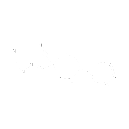 N#CC1(/C=N/N=C\N)CCC(c2ccccc2)NC1